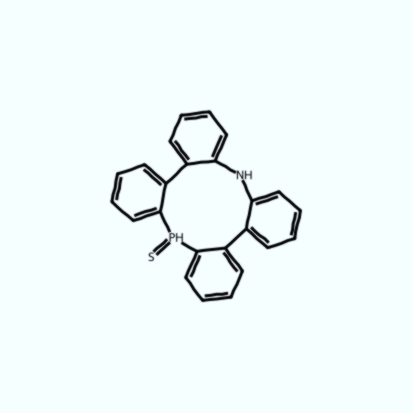 S=[PH]1c2ccccc2-c2ccccc2Nc2ccccc2-c2ccccc21